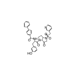 O=C(NC(Cc1cccc(O)c1)C(=O)N1CCC2C1C(=O)CN2S(=O)(=O)Cc1cccnc1)c1ccc(-c2ccccc2)cc1